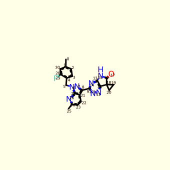 Cc1ccc(Cn2nc(-c3nnc4c(n3)NC(=O)C43CC3)c3ccc(C)nc32)c(F)c1